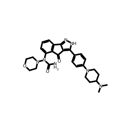 CN(C)C1CCN(c2ccc(-c3[nH]nc4c3C(=O)c3c-4cccc3N(C(N)=O)N3CCOCC3)cc2)CC1